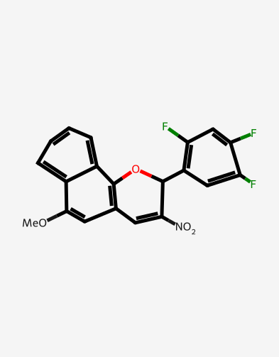 COc1cc2c(c3ccccc13)OC(c1cc(F)c(F)cc1F)C([N+](=O)[O-])=C2